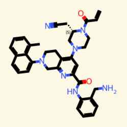 C=CC(=O)N1CCN(c2cc(C(=O)Nc3ccccc3CN)nc3c2CCN(c2cccc4cccc(C)c24)C3)C[C@@H]1CC#N